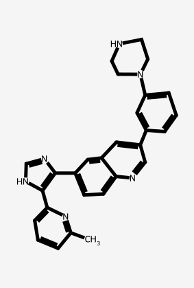 Cc1cccc(-c2[nH]cnc2-c2ccc3ncc(-c4cccc(N5CCNCC5)c4)cc3c2)n1